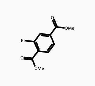 [CH2]Cc1cc(C(=O)OC)ccc1C(=O)OC